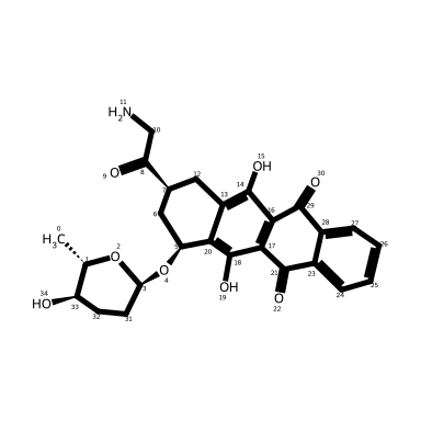 C[C@@H]1O[C@@H](O[C@H]2C[C@@H](C(=O)CN)Cc3c(O)c4c(c(O)c32)C(=O)c2ccccc2C4=O)CC[C@H]1O